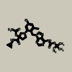 CC(C)(C)OC(=O)Nc1ncnc2c1ncn2Cc1c(Br)cc(Cl)cc1N1CCC(OC(N)=O)(C(=O)NC2CC2)C1